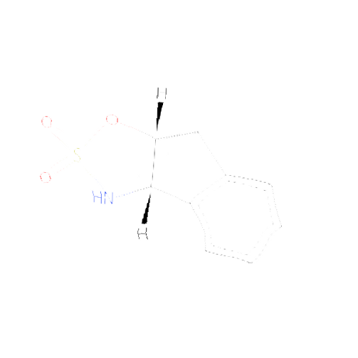 O=S1(=O)N[C@H]2c3ccccc3C[C@H]2O1